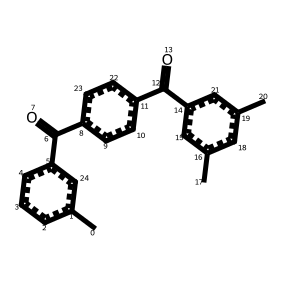 Cc1cccc(C(=O)c2ccc(C(=O)c3cc(C)cc(C)c3)cc2)c1